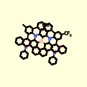 Cc1cc(-c2ccccc2)c(N2c3cc(N(c4ccccc4)c4ccccc4)cc(-c4ccccc4)c3B3c4c(-c5ccccc5)cc(N(c5ccccc5)c5ccccc5)cc4N(c4c(-c5ccccc5)cc(C(F)(F)F)cc4-c4ccccc4)c4cc(C(C)(C)C)cc2c43)c(-c2ccccc2)c1